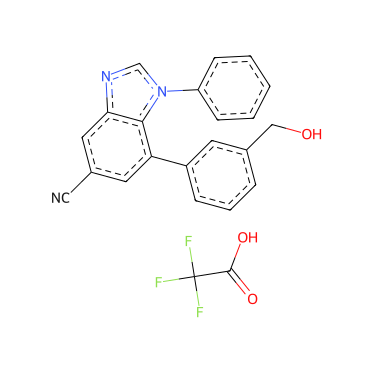 N#Cc1cc(-c2cccc(CO)c2)c2c(c1)ncn2-c1ccccc1.O=C(O)C(F)(F)F